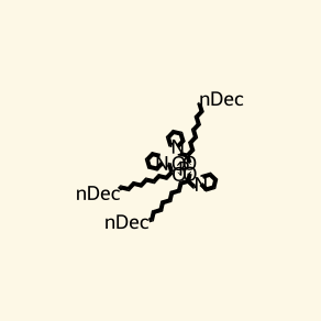 CCCCCCCCCCCCCCCCCCC(CN1CCCCC1)OP(=O)(OC(CCCCCCCCCCCCCCCCCC)CN1CCCCC1)OC(CCCCCCCCCCCCCCCCCC)CN1CCCCC1